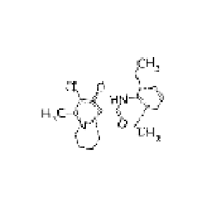 CCc1cccc(CC)c1NC(=O)c1c2n(c(C)c(Cl)c1=O)CCCC2